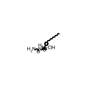 CCCCCCCCCCc1ccc(-c2noc(CNC(=O)CCN)n2)cc1.Cl